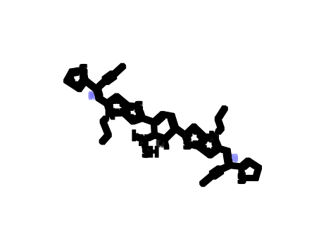 CC#C/C(=C\c1cc2sc(C3=CC=C(c4cc5c(cc(/C=C(\C#CC)c6cccs6)n5CCC)s4)C(N(S)I)[C@@H]3C)cc2n1CCC)C1=CCCS1